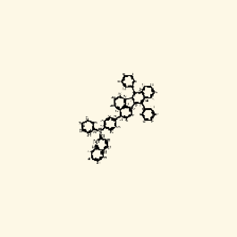 c1ccc(-c2c3c(c(-c4ccccc4)c4ccccc24)-c2ccc(-c4ccc(N(c5ccccc5)c5ccc6ccccc6n5)cc4)c4cccc-3c24)cc1